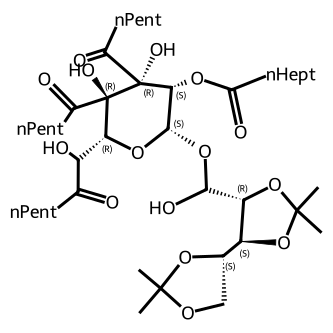 CCCCCCCC(=O)O[C@@H]1[C@H](OC(O)[C@@H]2OC(C)(C)O[C@H]2[C@@H]2COC(C)(C)O2)O[C@H](C(O)C(=O)CCCCC)[C@](O)(C(=O)CCCCC)[C@@]1(O)C(=O)CCCCC